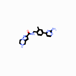 Cc1cc(-c2ccnc(N)n2)ccc1CNC(=O)c1cc2n(n1)CCNC2